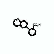 O=C(O)c1ccccc1-c1ccc2ncccc2c1